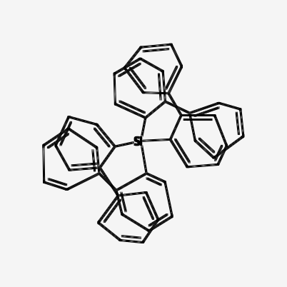 c1ccc(-c2ccccc2[Si](c2ccccc2-c2ccccc2)(c2ccccc2-c2ccccc2)c2ccccc2-c2ccccc2)cc1